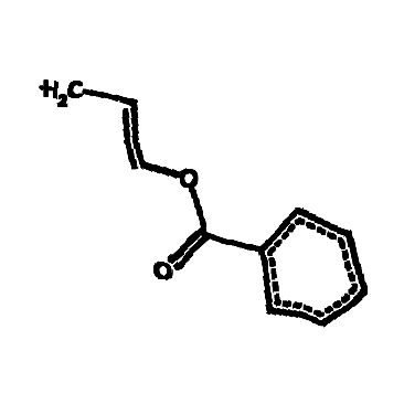 [CH2]C=COC(=O)c1ccccc1